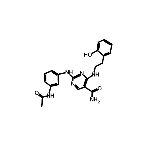 CC(=O)Nc1cccc(Nc2ncc(C(N)=O)c(NCCc3ccccc3O)n2)c1